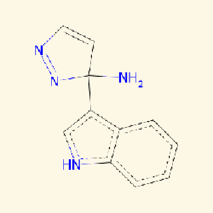 NC1(c2c[nH]c3ccccc23)C=CN=N1